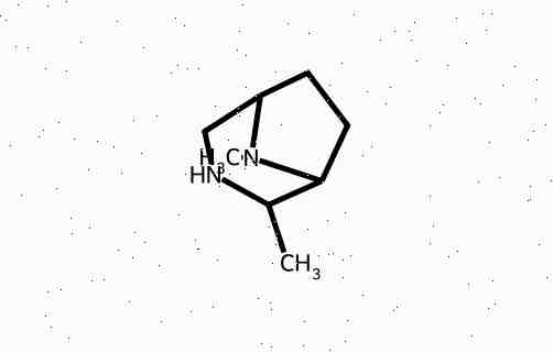 CC1NCC2CCC1N2C